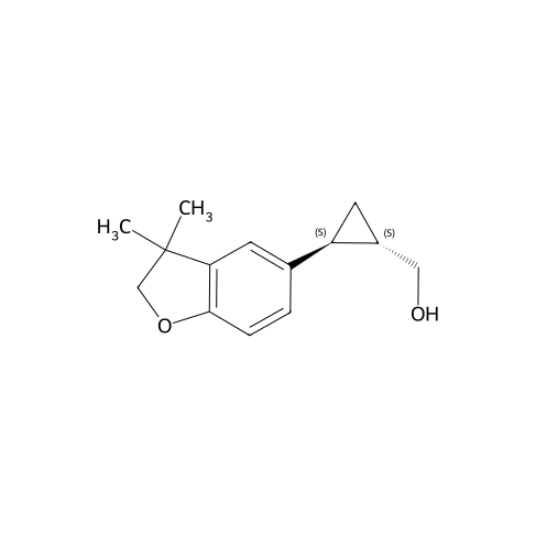 CC1(C)COc2ccc([C@H]3C[C@@H]3CO)cc21